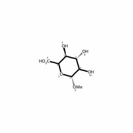 CO[C@@H]1OC(C(=O)O)[C@@H](O)[C@H](O)C1O